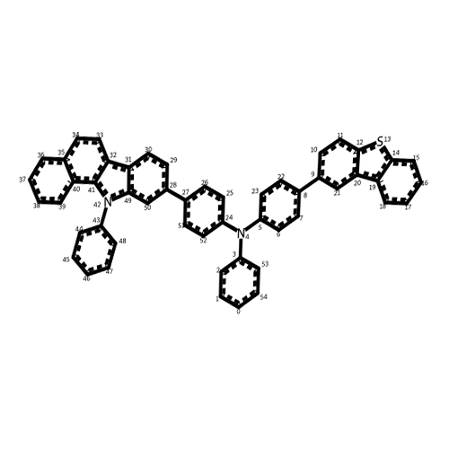 c1ccc(N(c2ccc(-c3ccc4sc5ccccc5c4c3)cc2)c2ccc(-c3ccc4c5ccc6ccccc6c5n(-c5ccccc5)c4c3)cc2)cc1